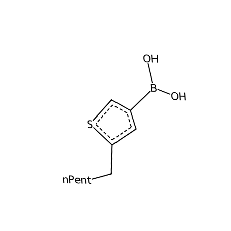 CCCCCCc1cc(B(O)O)cs1